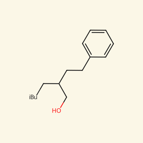 CCC(C)CC(CO)CCc1ccccc1